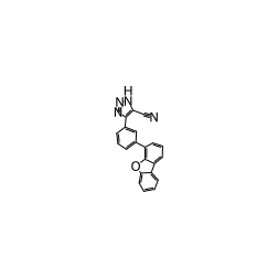 N#Cc1[nH]nnc1-c1cccc(-c2cccc3c2oc2ccccc23)c1